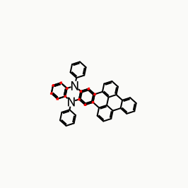 c1ccc(N(c2ccccc2)c2ccc(-c3cccc4c5ccccc5c5cccc(-c6ccc(N(c7ccccc7)c7ccccc7)cc6)c5c34)cc2)cc1